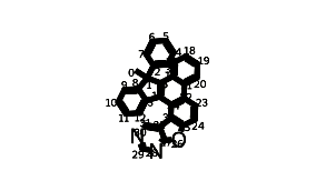 CC1(c2ccccc2)c2ccccc2-c2c1c1ccccc1c1ccc3oc4ncncc4c3c21